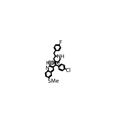 COc1nc2ccc(SC)cc2cc1C(c1ccc(Cl)cc1)C1(O)CCNC(Cc2ccc(F)cc2)C1